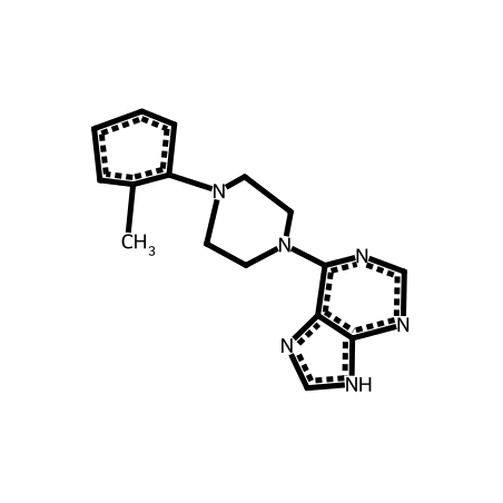 Cc1ccccc1N1CCN(c2ncnc3[nH]cnc23)CC1